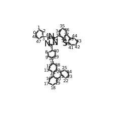 c1ccc(-c2nc(-c3ccc(-c4ccc(-c5ccccc5-c5ccccc5)cc4)cc3)nc(-c3cccc4c3sc3ccccc34)n2)cc1